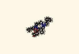 c1ccc(-c2ccc(N(c3cccc(-c4cccc(N(c5ccc(-c6ccccc6)cc5)c5cccc6c5oc5c7ccccc7ccc65)c4)c3)c3cccc(-c4cccc5ccccc45)c3)cc2)cc1